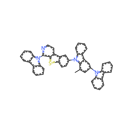 Cc1cc(-n2c3ccccc3c3ccccc32)cc2c3ccccc3n(-c3ccc4sc5c(-n6c7ccccc7c7ccccc76)nccc5c4c3)c12